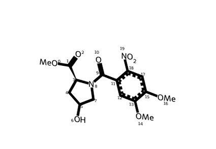 COC(=O)[C@@H]1CC(O)CN1C(=O)c1cc(OC)c(OC)cc1[N+](=O)[O-]